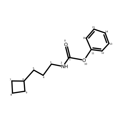 O=C(NCCCC1CCC1)Oc1ccccc1